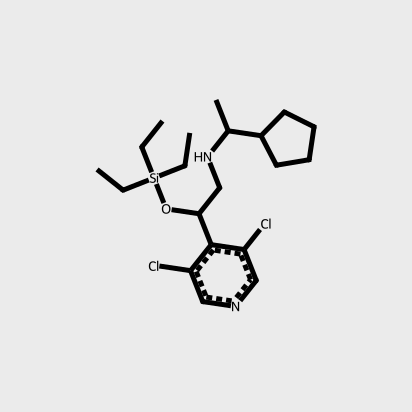 CC[Si](CC)(CC)OC(CNC(C)C1CCCC1)c1c(Cl)cncc1Cl